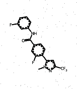 Cn1nc(C(F)(F)F)cc1-c1ccc(C(=O)Nc2cccc(F)c2)cc1F